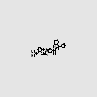 CCN(CC)Cc1cccc(NC(=O)c2ccc(Nc3nc(-c4ccccc4)c4ccccc4n3)cc2)c1C